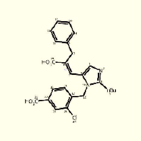 CCCCc1ncc(/C=C(\Cc2ccccc2)C(=O)O)n1Cc1ccc(C(=O)O)cc1Cl